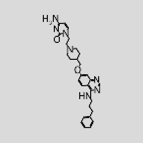 Nc1ccn(CCN2CCC(COc3ccc4c(NCCCc5ccccc5)ncnc4c3)CC2)c(=O)n1